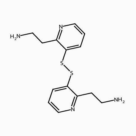 NCCc1ncccc1SSc1cccnc1CCN